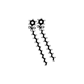 CCCCCCCCCCCCCCCCCCOS(=O)(=O)c1ccccc1.CCCCCCCCCCCCCCCCOS(=O)(=O)c1ccccc1